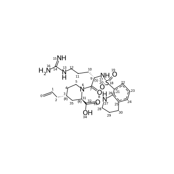 C=CC[C@@H]1CCN(C(=O)[C@H](CCCNC(=N)N)NS(=O)(=O)c2cccc3c2NCCC3)[C@@H](C(=O)O)C1